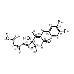 COC(=O)/C=C(C)\C=C\[C@@]1(O)C(C)=C(Cc2ccc(F)c(F)c2)C(=O)CC1(C)C